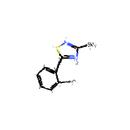 CSc1nsc(-c2ccccc2[N+](=O)[O-])n1